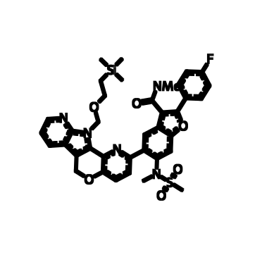 CNC(=O)c1c(-c2ccc(F)cc2)oc2cc(N(C)S(C)(=O)=O)c(-c3ccc4c(n3)-c3c(c5cccnc5n3COCC[Si](C)(C)C)CO4)cc12